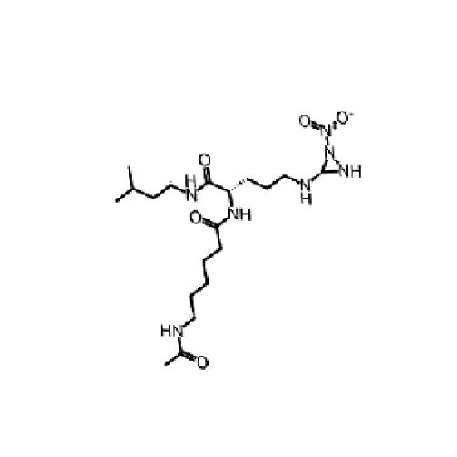 CC(=O)NCCCCCC(=O)N[C@@H](CCCN[C@@H]1NN1[N+](=O)[O-])C(=O)N[CH]CC(C)C